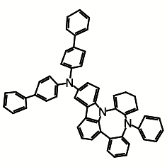 C1=c2c(n3c4ccc(N(c5ccc(-c6ccccc6)cc5)c5ccc(-c6ccccc6)cc5)cc4c4cccc(c5ccccc5n2-c2ccccc2)c43)=CCC1